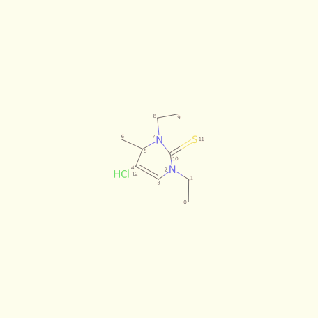 CCN1C=CC(C)N(CC)C1=S.Cl